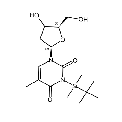 Cc1cn([C@H]2CC(O)[C@@H](CO)O2)c(=O)n([Si](C)(C)C(C)(C)C)c1=O